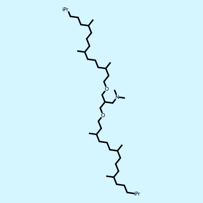 CC(C)CCCC(C)CCCC(C)CCCC(C)CCOCC(COCCC(C)CCCC(C)CCCC(C)CCCC(C)C)CN(C)C